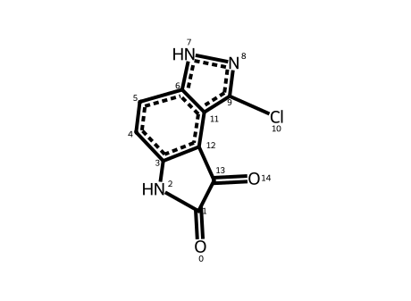 O=C1Nc2ccc3[nH]nc(Cl)c3c2C1=O